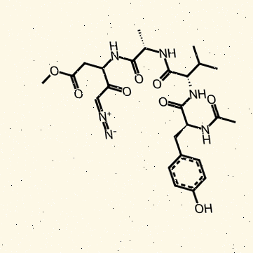 COC(=O)CC(NC(=O)[C@H](C)NC(=O)[C@@H](NC(=O)[C@H](Cc1ccc(O)cc1)NC(C)=O)C(C)C)C(=O)C=[N+]=[N-]